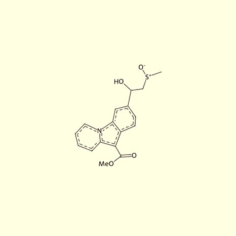 COC(=O)c1c2ccc(C(O)C[S+](C)[O-])cc2n2ccccc12